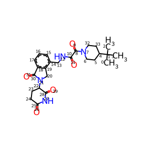 CC(C)(C)C1CCN(C(=O)C(=O)NCc2cccc3c2CN(C2CCC(=O)NC2=O)C3=O)CC1